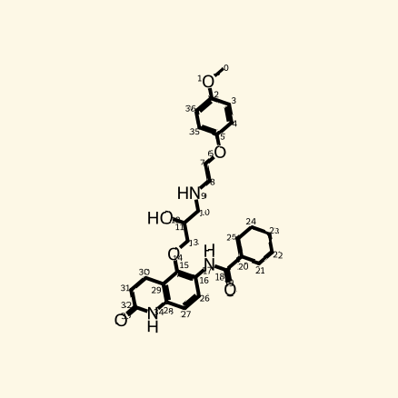 COc1ccc(OCCNCC(O)COc2c(NC(=O)C3CCCCC3)ccc3c2CCC(=O)N3)cc1